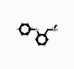 CNCc1ccccc1Sc1ccccc1